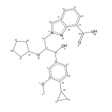 COc1cc(C(O)C(Cn2cc3cccc(C(=O)O)c3n2)OC2CCCC2)ccc1C1CC1